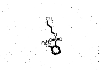 CCCCOS(=O)(=O)c1ccccc1C.[Fe]